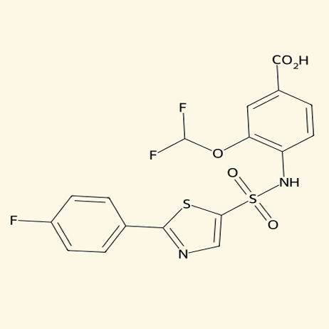 O=C(O)c1ccc(NS(=O)(=O)c2cnc(-c3ccc(F)cc3)s2)c(OC(F)F)c1